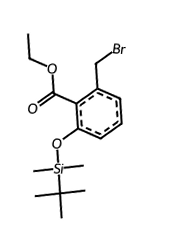 CCOC(=O)c1c(CBr)cccc1O[Si](C)(C)C(C)(C)C